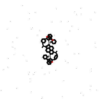 Cc1cccc2c1N(c1ccccc1-c1ccccc1)c1cc(c3ccc4c5cc(c6ccc1c3c64)C(C)c1ccc(cc1)-c1cccc(C)c1N5c1ccccc1-c1ccccc1)C(C)c1ccc-2cc1